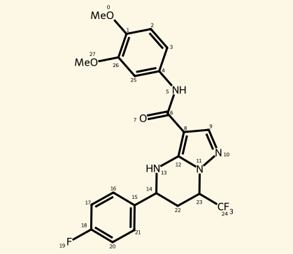 COc1ccc(NC(=O)c2cnn3c2NC(c2ccc(F)cc2)CC3C(F)(F)F)cc1OC